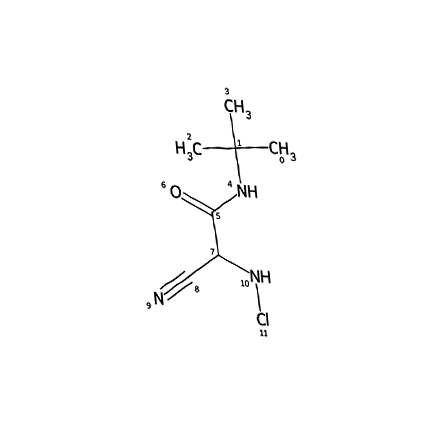 CC(C)(C)NC(=O)C(C#N)NCl